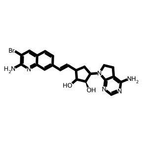 Nc1nc2cc(/C=C/C3CC(N4CCc5c(N)ncnc54)[C@@H](O)C3O)ccc2cc1Br